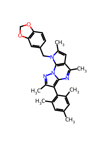 Cc1cc(C)c(-c2c(C)nn3c2nc(C)c2cc(C)n(Cc4ccc5c(c4)OCO5)c23)c(C)c1